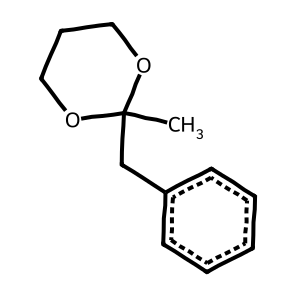 CC1(Cc2ccccc2)OCCCO1